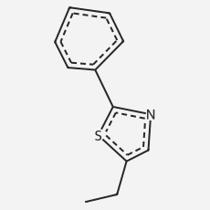 CCc1cnc(-c2ccccc2)s1